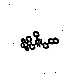 c1ccc(-c2cc(-c3cccc4c3-c3ccccc3C43c4ccccc4Oc4ccccc43)nc(-c3cccc(-c4ccc5ccccc5c4)c3)n2)cc1